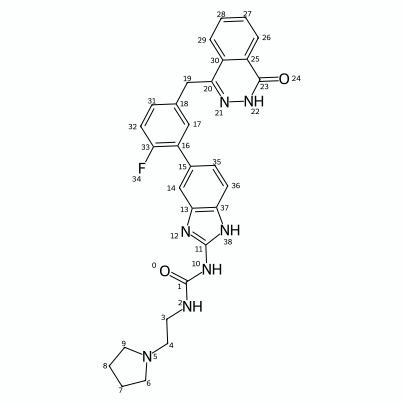 O=C(NCCN1CCCC1)Nc1nc2cc(-c3cc(Cc4n[nH]c(=O)c5ccccc45)ccc3F)ccc2[nH]1